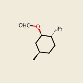 CC(C)[C@@H]1CC[C@@H](C)C[C@H]1OC=O